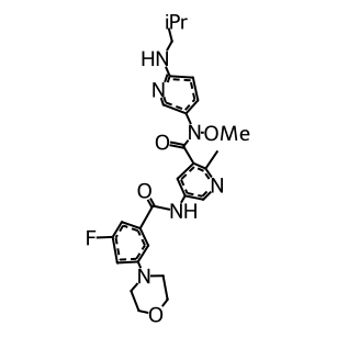 CON(C(=O)c1cc(NC(=O)c2cc(F)cc(N3CCOCC3)c2)cnc1C)c1ccc(NCC(C)C)nc1